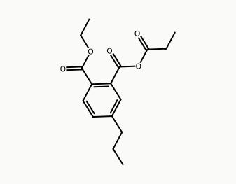 CCCc1ccc(C(=O)OCC)c(C(=O)OC(=O)CC)c1